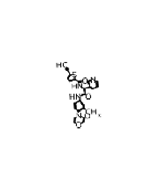 C#Cc1ccc(C(=O)NC(C(=O)Nc2ccc(N3CCOCC3=O)c(C)c2)c2cccnc2)s1